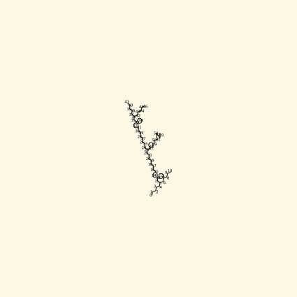 CCCCCC(CCCCC)CC(=O)OCCCCCCCCC(CCCCCCCCOC(=O)CC(CCCCC)CCCCC)COCCCN(C)C